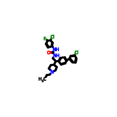 CCCN1CCC(C(CNC(=O)NC2=CC(Cl)C(F)C=C2)c2ccc(-c3cccc(Cl)c3)cc2)CC1